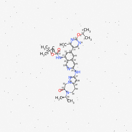 Cc1nc(OC(C)C)ncc1-c1cc(NC(=O)OC(C)(C)C)c2cnc(Nc3cc4n(n3)CC(=O)N(C(C)C)CC4)cc2c1